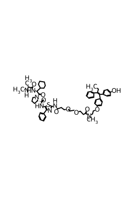 CC/C(=C(\c1ccc(O)cc1)c1ccc(OCCN(C)C(=O)CCOCCOCCC(=O)Nc2nc(-c3ccccc3)c(NC(=O)[C@@H]3CCCN3C(=O)[C@@H](NC(=O)[C@H](C)NC)C3CCCCC3)s2)cc1)c1ccccc1